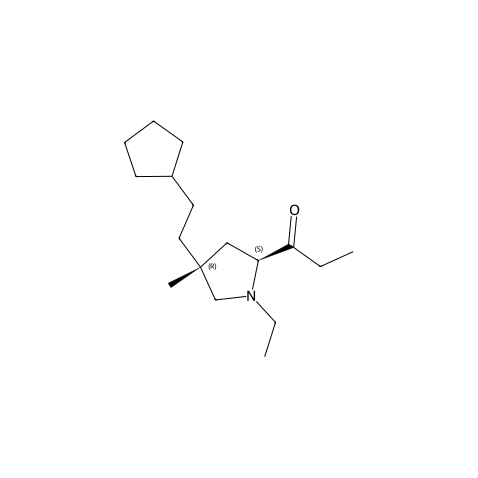 CCC(=O)[C@@H]1C[C@@](C)(CCC2CCCC2)CN1CC